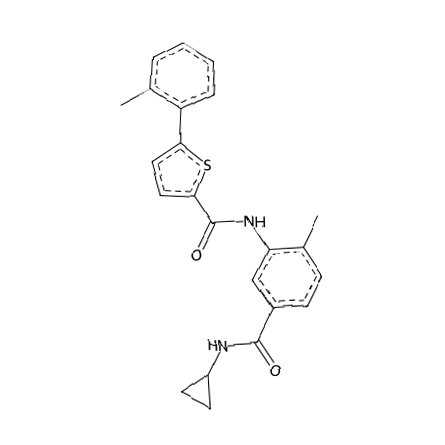 Cc1ccc(C(=O)NC2CC2)cc1NC(=O)c1ccc(-c2ccccc2C)s1